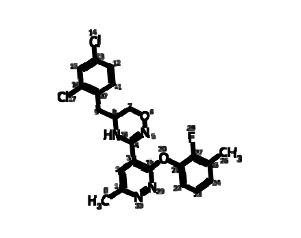 Cc1cc(C2=NOCC(Cc3ccc(Cl)cc3Cl)N2)c(Oc2cccc(C)c2F)nn1